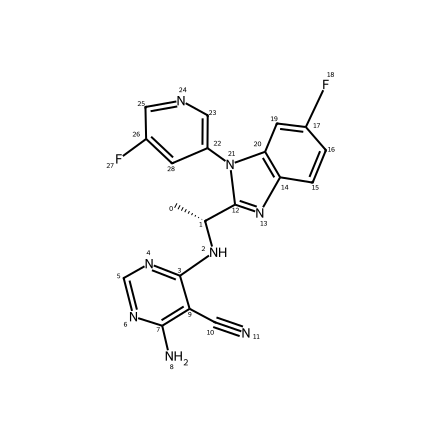 C[C@@H](Nc1ncnc(N)c1C#N)c1nc2ccc(F)cc2n1-c1cncc(F)c1